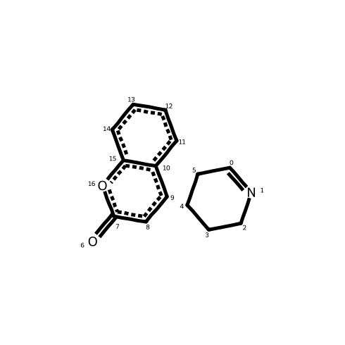 C1=NCCCC1.O=c1ccc2ccccc2o1